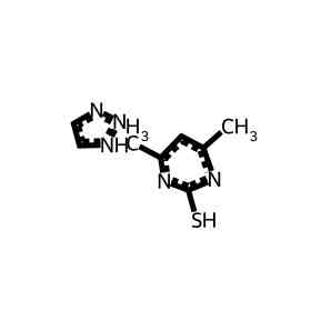 Cc1cc(C)nc(S)n1.c1c[nH]nn1